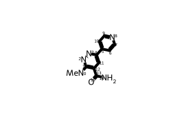 CNc1nnc(-c2ccncc2)cc1C(N)=O